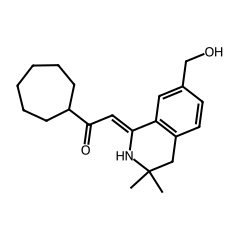 CC1(C)Cc2ccc(CO)cc2C(=CC(=O)C2CCCCCC2)N1